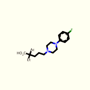 CCC(CCCN1CCN(c2ccc(F)cc2)CC1)(C(C)=O)C(=O)O